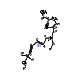 CCN(C/C=C/C#CC(C)(C)OC)Cc1csc(CO)n1